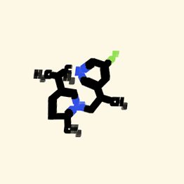 Cc1ccc(C(C)C)c[n+]1CC(C)c1cncc(F)c1